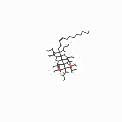 CCCCCCCC/C=C\CCC(C(O)C(O)CO)(C(O)C(O)CO)C(C(O)C(O)CO)(C(O)C(O)CO)C(C(O)C(O)CO)(C(O)C(O)CO)C(C(O)C(O)CO)(C(O)C(O)CO)C(C(=O)O)(C(O)C(O)CO)C(O)C(O)CO